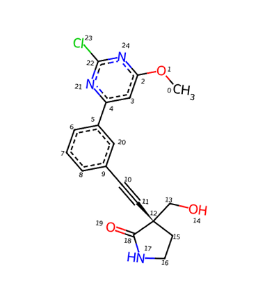 COc1cc(-c2cccc(C#C[C@@]3(CO)CCNC3=O)c2)nc(Cl)n1